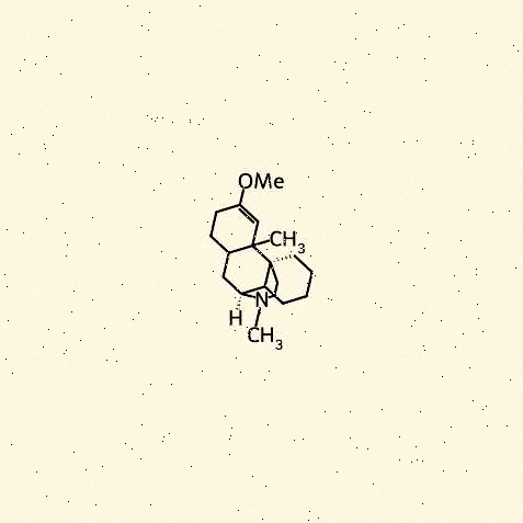 COC1=CC2(C)C(CC1)C[C@H]1C3CCCC[C@]32CCN1C